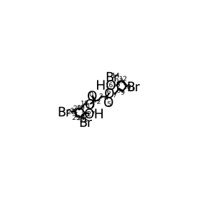 O=C(CCC(=O)OCc1cc(Br)cc(Br)c1O)OCc1cc(Br)cc(Br)c1O